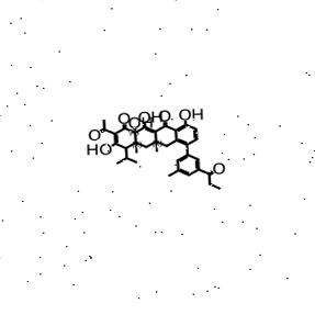 CCC(=O)c1cc(C)cc(-c2ccc(O)c3c2C[C@]2(C)C[C@]4(C)C(C(C)C)C(O)=C(C(C)=O)C(=O)[C@]4(O)C(O)=C2C3=O)c1